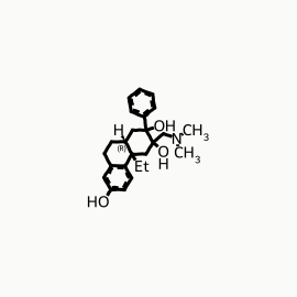 CCC12CC(O)(CN(C)C)C(O)(c3ccccc3)C[C@H]1CCc1cc(O)ccc12